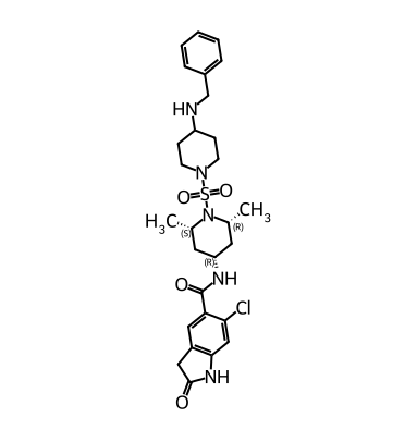 C[C@@H]1C[C@H](NC(=O)c2cc3c(cc2Cl)NC(=O)C3)C[C@H](C)N1S(=O)(=O)N1CCC(NCc2ccccc2)CC1